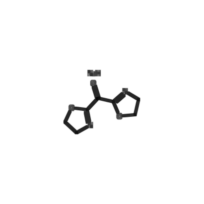 O=C(C1=NCCO1)C1=NCCO1.[NaH]